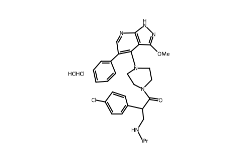 COc1n[nH]c2ncc(-c3ccccc3)c(N3CCN(C(=O)C(CNC(C)C)c4ccc(Cl)cc4)CC3)c12.Cl.Cl